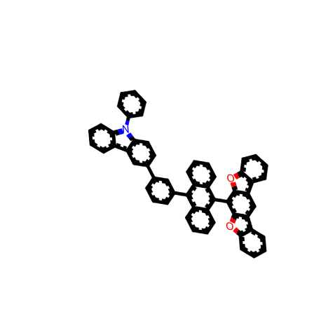 c1ccc(-n2c3ccccc3c3cc(-c4cccc(-c5c6ccccc6c(-c6c7oc8ccccc8c7cc7c6oc6ccccc67)c6ccccc56)c4)ccc32)cc1